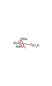 COC(=O)C/C(C(=O)OC)=C(\CCCCOS(=O)(=O)O)C(=O)OC